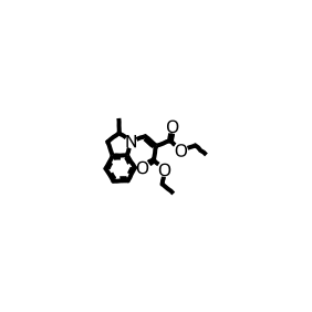 CCOC(=O)C(=CN1c2ccccc2CC1C)C(=O)OCC